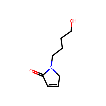 O=C1C=CCN1CCCCO